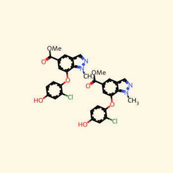 COC(=O)c1cc(Oc2ccc(O)cc2Cl)c2c(cnn2C)c1.COC(=O)c1cc(Oc2ccc(O)cc2Cl)c2c(cnn2C)c1